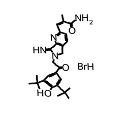 Br.CC(=Cc1ccc2c(n1)C(=N)N(CC(=O)c1cc(C(C)(C)C)c(O)c(C(C)(C)C)c1)C2)C(N)=O